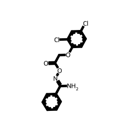 N/C(=N\OC(=O)COc1ccc(Cl)cc1Cl)c1ccccc1